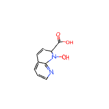 O=C(O)C1C=Cc2cccnc2N1O